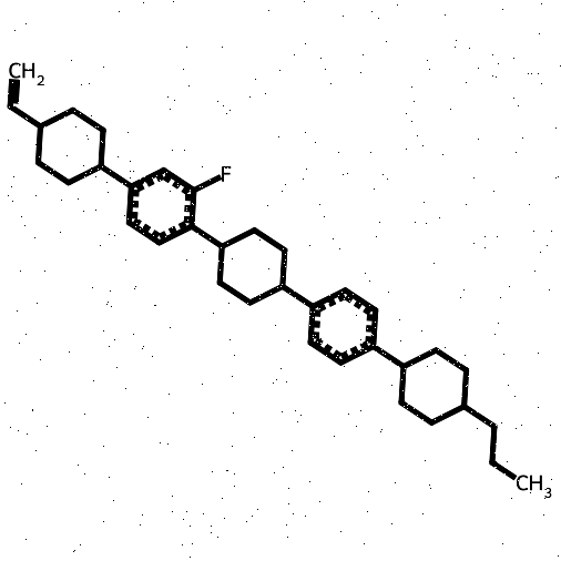 C=CC1CCC(c2ccc(C3CCC(c4ccc(C5CCC(CCC)CC5)cc4)CC3)c(F)c2)CC1